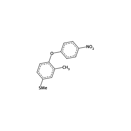 CSc1ccc(Oc2ccc([N+](=O)[O-])cc2)c(C)c1